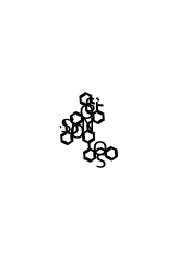 C[Si]1(C)c2ccccc2Oc2c(N(c3ccc(-c4cccc5c4Oc4ccccc4S5)cc3)c3cccc4c3Oc3ccccc3[Si]4(C)C)cccc21